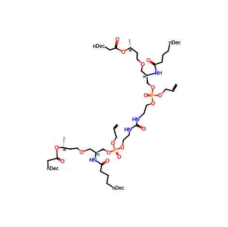 C=CCOP(=O)(OCCNC(=O)NCCOP(=O)(OCC=C)OC[C@H](COCC[C@@H](C)OC(=O)CCCCCCCCCCC)NC(=O)CCCCCCCCCCCCC)OC[C@@H](COCC[C@@H](C)OC(=O)CCCCCCCCCCC)NC(=O)CCCCCCCCCCCCC